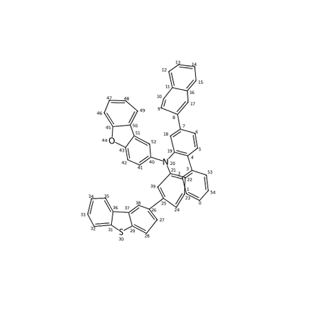 c1ccc(-c2ccc(-c3ccc4ccccc4c3)cc2N(c2cccc(-c3ccc4sc5ccccc5c4c3)c2)c2ccc3oc4ccccc4c3c2)cc1